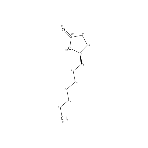 CCCCCCC[C@@H]1CCC(=O)O1